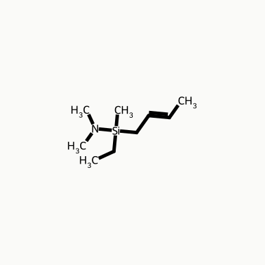 CC=CC[Si](C)(CC)N(C)C